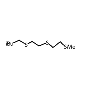 CCC(C)CSCCSCCSC